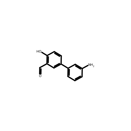 Nc1cccc(-c2ccc(O)c(C=O)c2)c1